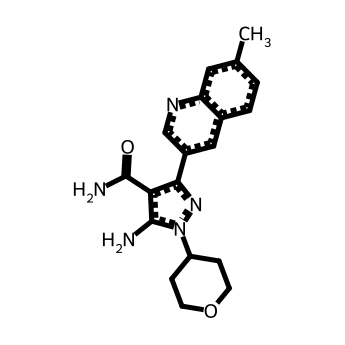 Cc1ccc2cc(-c3nn(C4CCOCC4)c(N)c3C(N)=O)cnc2c1